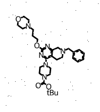 CC(C)(C)OC(=O)N1CCN(c2nc(OCCCN3CCOCC3)nc3c2CCN(Cc2ccccc2)C3)CC1